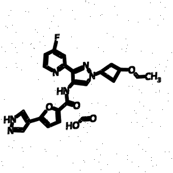 CCOC1CC(n2cc(NC(=O)c3ccc(-c4cn[nH]c4)o3)c(-c3cc(F)ccn3)n2)C1.O=CO